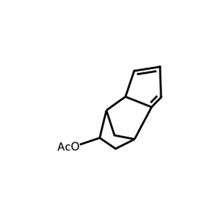 CC(=O)OC1CC2CC1C1C=CC=C21